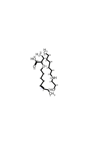 CC/C=C\CCCCOC(CC)C(=O)O.CCCCCCCNCCO